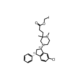 CN1CCN([C@@H]2C[C@@H](c3ccccc3)c3ccc(Cl)cc32)CC1(C)CCC(=O)OCI